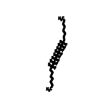 CCCCCCCCC(F)(F)C(F)(F)C(F)(F)C(F)(F)C(F)(F)C(F)(F)C(F)(F)C(F)(F)CCCCCCC